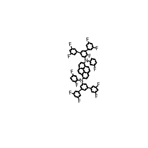 Fc1cc(F)cc(-c2cc(-c3cc(F)cc(F)c3)cc(N(c3cc(F)ccc3F)c3ccc4ccc5c(N(c6cc(-c7cc(F)cc(F)c7)cc(-c7cc(F)cc(F)c7)c6)c6cc(F)ccc6F)ccc6ccc3c4c65)c2)c1